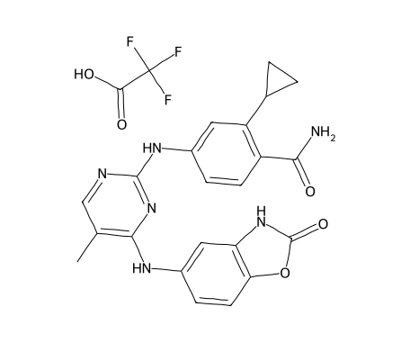 Cc1cnc(Nc2ccc(C(N)=O)c(C3CC3)c2)nc1Nc1ccc2oc(=O)[nH]c2c1.O=C(O)C(F)(F)F